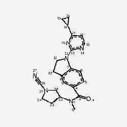 CN(C(=O)c1ccc2c(c1)CCN2c1nccc(C2CC2)n1)C1CCN(C#N)C1